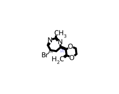 C=C1OCCO/C1=C1/C[C@H](Br)C=NC(C)=N1